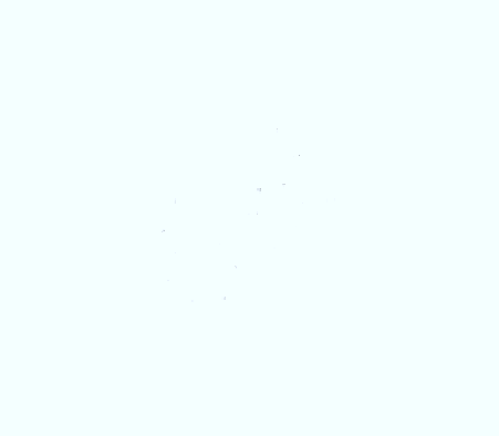 O=C(Cl)c1ccccc1C(=O)c1cccc2ccccc12